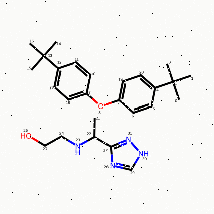 CC(C)(C)c1ccc(Oc2ccc(C(C)(C)C)cc2)cc1.CC(NCCO)c1nc[nH]n1